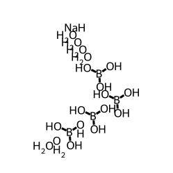 O.O.O.O.O.O.OB(O)O.OB(O)O.OB(O)O.OB(O)O.[NaH]